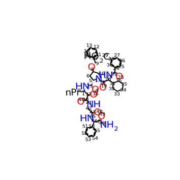 CCCC(NC(=O)[C@@H]1C[C@@H](OCc2ccccc2)CN1C(=O)C(NC(=O)c1cccc(C(=O)O)c1)C1CCCCC1)C(=O)C(=O)NCC(=O)NC(C(N)=O)c1ccccc1